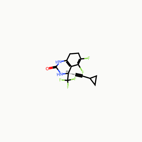 O=C1NC2=C(C(F)=C(F)CC2)[C@@](C#CC2CC2)(C(F)(F)F)N1